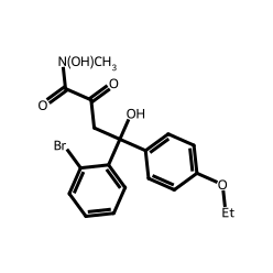 CCOc1ccc(C(O)(CC(=O)C(=O)N(C)O)c2ccccc2Br)cc1